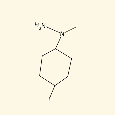 CN(N)C1CCC(I)CC1